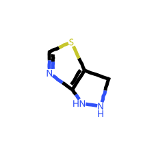 c1nc2c(s1)CNN2